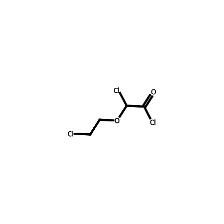 O=C(Cl)C(Cl)OCCCl